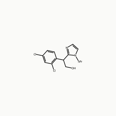 CCCn1ccnc1C(CO)c1ccc(Cl)cc1Cl